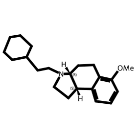 COc1cccc2c1CC[C@@H]1[C@H]2CCN1CCC1CCCCC1